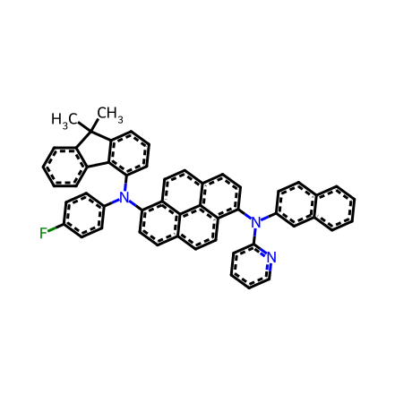 CC1(C)c2ccccc2-c2c(N(c3ccc(F)cc3)c3ccc4ccc5c(N(c6ccc7ccccc7c6)c6ccccn6)ccc6ccc3c4c65)cccc21